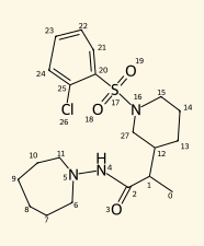 CC(C(=O)NN1CCCCCC1)C1CCCN(S(=O)(=O)c2ccccc2Cl)C1